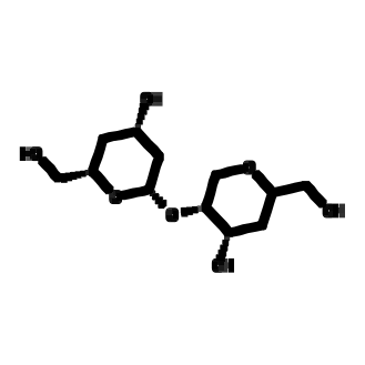 OCC1C[C@H](O)[C@H](O[C@H]2C[C@@H](O)C[C@@H](CO)O2)CO1